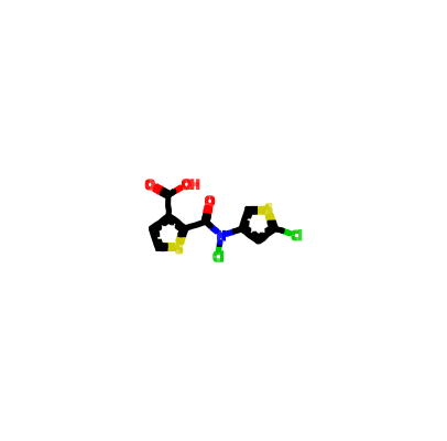 O=C(O)c1ccsc1C(=O)N(Cl)c1csc(Cl)c1